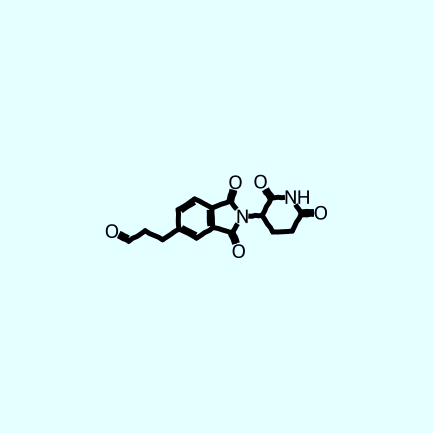 O=CCCc1ccc2c(c1)C(=O)N(C1CCC(=O)NC1=O)C2=O